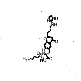 CCCCS(=O)(=O)N[C@@H](Cc1ccc2oc(CCCNc3ncc[nH]3)cc(=O)c2c1)C(=O)O